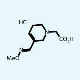 CO/N=C/C1=CCCN(CC(=O)O)C1.Cl